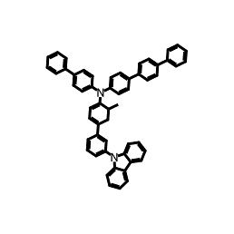 CC1CC(c2cccc(-n3c4ccccc4c4ccccc43)c2)=CC=C1N(c1ccc(-c2ccccc2)cc1)c1ccc(-c2ccc(-c3ccccc3)cc2)cc1